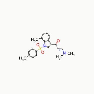 Cc1ccc(S(=O)(=O)n2cc(C(=O)/C=C/N(C)C)c3cccc(C)c32)cc1